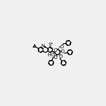 CSc1cc([C@]2(O)O[C@H](COCc3ccccc3)[C@@H](OCc3ccccc3)[C@H](OCc3ccccc3)[C@H]2OCc2ccccc2)cc(Cc2ccc(C3CC3)cc2)c1C#N